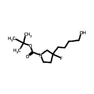 CC(C)(C)OC(=O)N1CCC(F)(CCCCO)C1